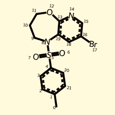 Cc1ccc(S(=O)(=O)N2CCCOc3ncc(Br)cc32)cc1